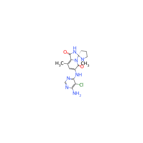 Cc1cc(Nc2ncnc(N)c2Cl)c(=O)n2c1C(=O)N[C@]21CCCN1C